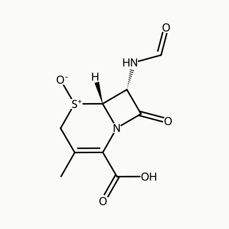 CC1=C(C(=O)O)N2C(=O)[C@@H](NC=O)[C@H]2[S+]([O-])C1